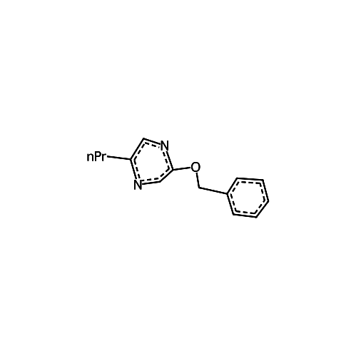 CCCc1cnc(OCc2ccccc2)cn1